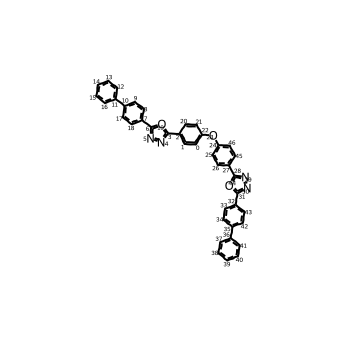 C1=C=C(c2nnc(-c3ccc(-c4ccccc4)cc3)o2)C=CC=1Oc1ccc(-c2nnc(-c3ccc(-c4ccccc4)cc3)o2)cc1